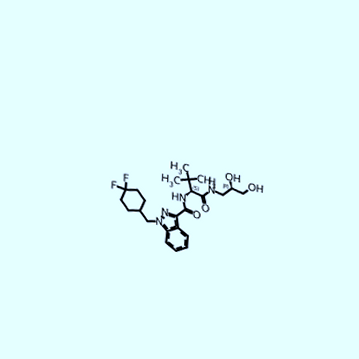 CC(C)(C)[C@H](NC(=O)c1nn(CC2CCC(F)(F)CC2)c2ccccc12)C(=O)NC[C@@H](O)CO